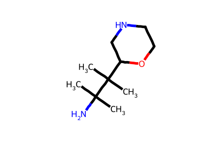 CC(C)(N)C(C)(C)C1CNCCO1